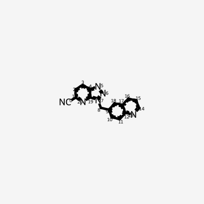 N#Cc1ccc2nnn(Cc3ccc4ncccc4c3)c2n1